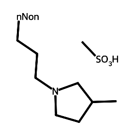 CCCCCCCCCCCCN1CCC(C)C1.CS(=O)(=O)O